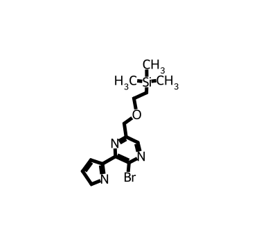 C[Si](C)(C)CCOCc1cnc(Br)c(C2=NCC=C2)n1